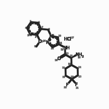 COc1ncccc1Cn1cc(NC(=O)[C@@H](N)C2CCC(F)(F)CC2)cn1.Cl